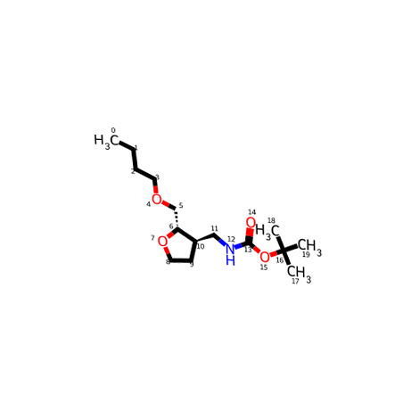 CCCCOC[C@H]1OCC[C@@H]1CNC(=O)OC(C)(C)C